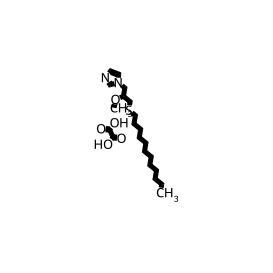 CCCCCCCCCCCCSCC(Cn1ccnc1)OC.O=C(O)C(=O)O